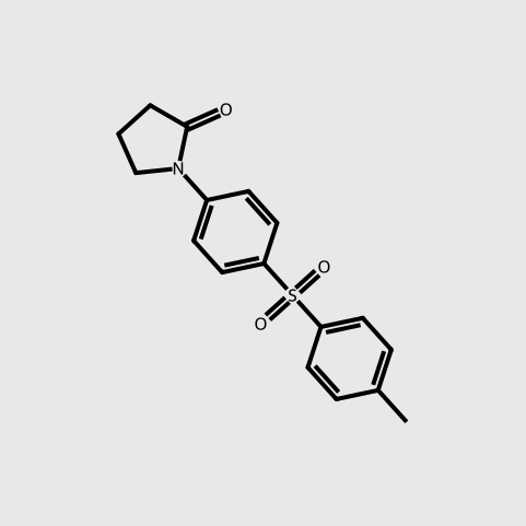 Cc1ccc(S(=O)(=O)c2ccc(N3CCCC3=O)cc2)cc1